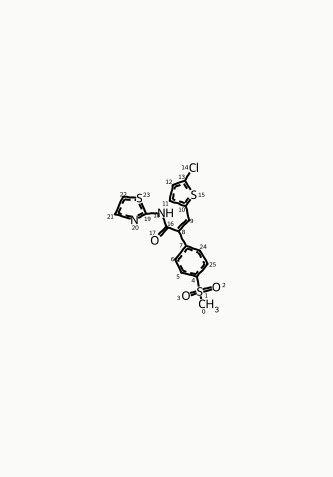 CS(=O)(=O)c1ccc(C(=Cc2ccc(Cl)s2)C(=O)Nc2nccs2)cc1